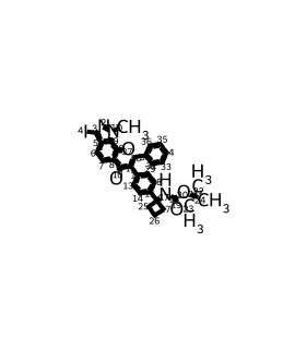 Cn1nc(I)c2ccc3c(=O)c(-c4ccc(C5(NC(=O)OC(C)(C)C)CCC5)cc4)c(-c4ccccc4)oc3c21